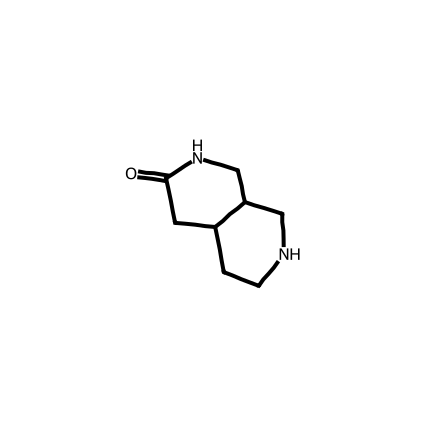 O=C1CC2CCNCC2CN1